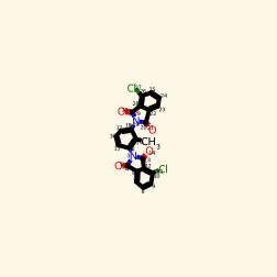 Cc1c(N2C(=O)c3cccc(Cl)c3C2=O)cccc1N1C(=O)c2cccc(Cl)c2C1=O